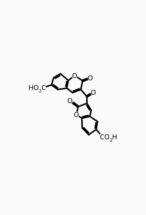 O=C(O)c1ccc2oc(=O)c(C(=O)c3cc4cc(C(=O)O)ccc4oc3=O)cc2c1